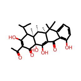 CC(=O)C1=C(O)C(C(C)C)[C@@]2(C)[C@H](C)[C@]3(C)C(=C(O)[C@@]2(O)C1=O)C(=O)c1c(O)cccc1C3(C)C